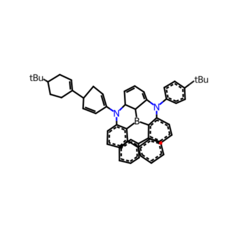 CC(C)(C)c1ccc(N2C3=CC=CC4C3B(c3c(-c5ccccc5)cccc32)c2c(-c3ccccc3)cccc2N4C2=CCC(C3=CCC(C(C)(C)C)CC3)C=C2)cc1